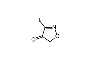 O=C1CON=C1I